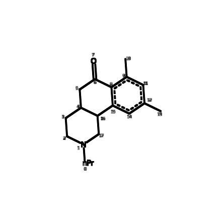 CCCN1CCC2CC(=O)c3c(C)cc(C)cc3C2C1